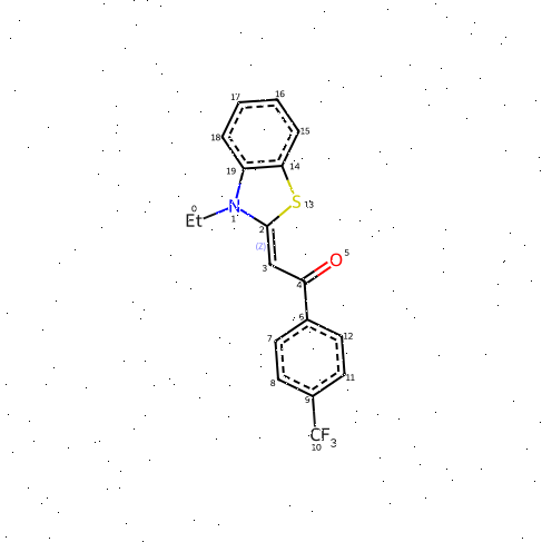 CCN1/C(=C/C(=O)c2ccc(C(F)(F)F)cc2)Sc2ccccc21